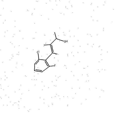 CC(=C(C)C(C)S)c1c(F)cccc1Cl